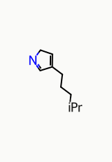 CC(C)CCCC1=CCN=C1